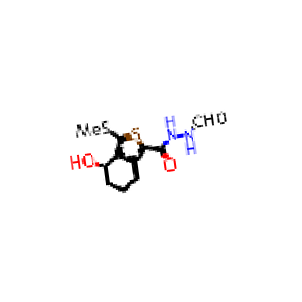 CSc1sc(C(=O)NNC=O)c2c1C(O)CCC2